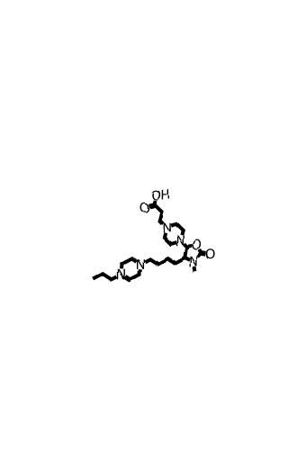 CCCN1CCN(CCCCC2C(N3CCN(CCC(=O)O)CC3)OC(=O)N2C)CC1